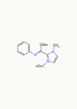 CCCCCCCC[n+]1ccn(C)c1/C(=N/c1ccccc1)OC